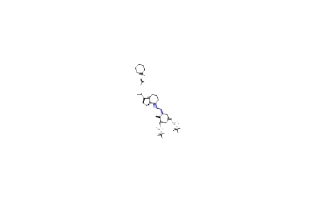 C=C1/C(=C\C=C2/CCC[C@]3(C)C(C(C)OCC(=O)OC4(C)CCCCC4)=CC[C@@H]23)C[C@@H](O[Si](C)(C)C(C)(C)C)C[C@@H]1O[Si](C)(C)C(C)(C)C